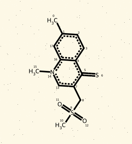 Cc1ccc2c(=S)c(CS(C)(=O)=O)cn(C)c2c1